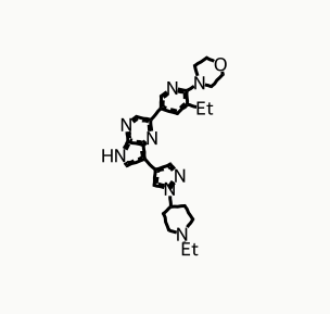 CCc1cc(-c2cnc3[nH]cc(-c4cnn(C5CCN(CC)CC5)c4)c3n2)cnc1N1CCOCC1